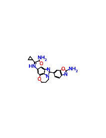 NC(=O)[C@@H](Nc1cc2c3c(c1)nc(-c1ccc4nc(N)oc4c1)n3CCCO2)C1CC1